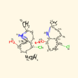 Cc1ccc2c(Cl)ccc(O)c2n1.Cc1ccc2c(Cl)ccc(O)c2n1.[MgH2]